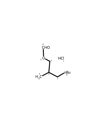 CCCCCC(C)COC=O.Cl